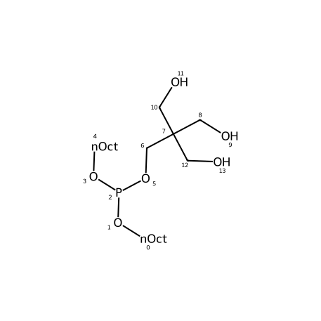 CCCCCCCCOP(OCCCCCCCC)OCC(CO)(CO)CO